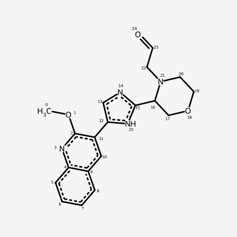 COc1nc2ccccc2cc1-c1cnc(C2COCCN2CC=O)[nH]1